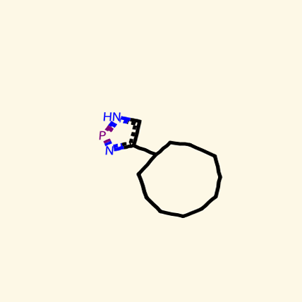 c1[nH]pnc1C1CCCCCCCCCC1